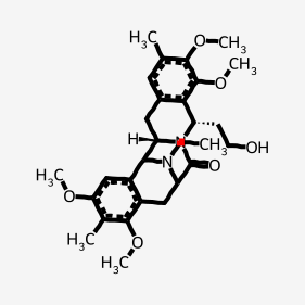 CCN1C2Cc3c(cc(OC)c(C)c3OC)C1[C@@H]1Cc3cc(C)c(OC)c(OC)c3[C@H](CCO)N1C2=O